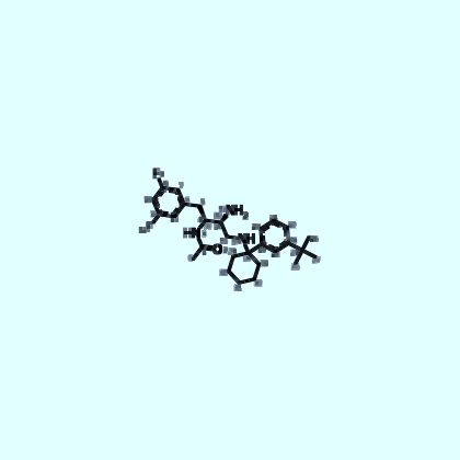 CC(=O)N[C@@H](Cc1cc(F)cc(F)c1)[C@@H](N)CNC1(c2cccc(C(C)(C)C)c2)CCCCC1